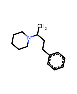 [CH2]C(CCc1ccccc1)N1CCCCC1